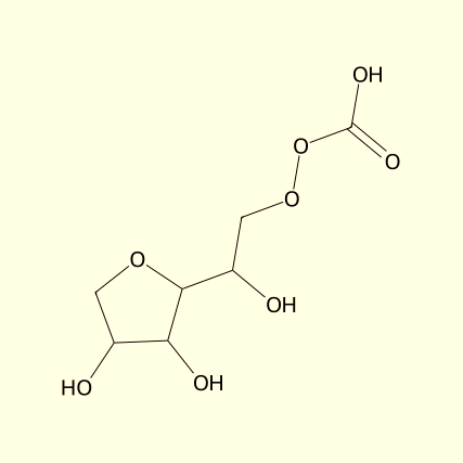 O=C(O)OOCC(O)C1OCC(O)C1O